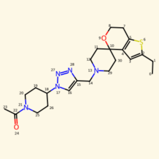 CCc1cc2c(s1)CCOC21CCN(Cc2cn(C3CCN(C(C)=O)CC3)nn2)CC1